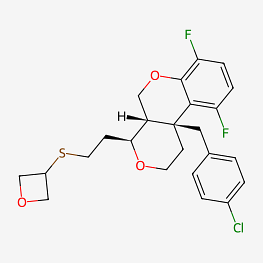 Fc1ccc(F)c2c1OC[C@H]1[C@H](CCSC3COC3)OCC[C@@]21Cc1ccc(Cl)cc1